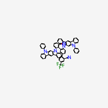 N#Cc1cc(C(F)(F)F)ccc1-c1ccc(-n2c3ccccc3c3cc4c5ccccc5n(-c5ccccc5)c4cc32)c(-c2c(C#N)cccc2-n2c3ccccc3c3cc4c5ccccc5n(-c5ccccc5)c4cc32)c1